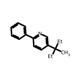 CCC(C)(CC)c1ccc(-c2ccccc2)nc1